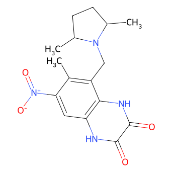 Cc1c([N+](=O)[O-])cc2[nH]c(=O)c(=O)[nH]c2c1CN1C(C)CCC1C